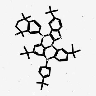 CC(C)(C)c1ccc(N2c3ccc(C(C)(C)C)cc3B3c4sc5ccc(C(C)(C)C)cc5c4N(c4ccc5c(c4)C(C)(C)CCC5(C)C)c4cc(C(C)(C)C)cc2c43)cc1